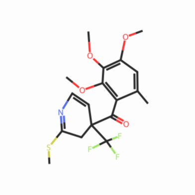 COc1cc(C)c(C(=O)C2(C(F)(F)F)C=CN=C(SC)C2)c(OC)c1OC